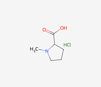 CN1CCCC1C(=O)O.Cl